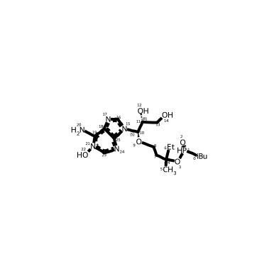 CCC(C)[PH](=O)OC(C)(CC)CCO[C@@H]([C@H](O)CO)n1cnc2c(N)[n+](O)cnc21